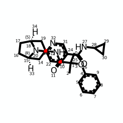 CC(C)(Oc1ccccc1)C(=O)N[C@H]1C[C@H]2CC[C@@H](C1)N2c1ccc(C(=O)NC2CC2)cn1